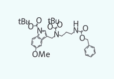 COc1ccc2c(c1)c(CN(CCCNC(=O)OCc1ccccc1)C(=O)OC(C)(C)C)cn2C(=O)OC(C)(C)C